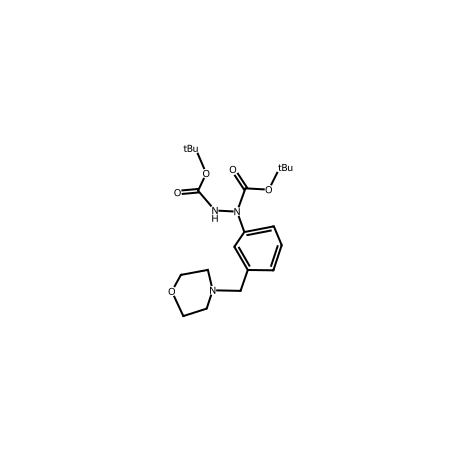 CC(C)(C)OC(=O)NN(C(=O)OC(C)(C)C)c1cccc(CN2CCOCC2)c1